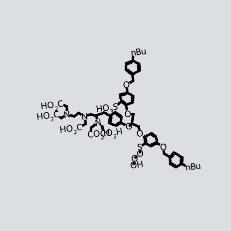 CCCCc1ccc(COc2ccc(OCC(COc3ccc(OCc4ccc(CCCC)cc4)cc3S(=O)(=O)O)Oc3ccc(CC(CN(CCN(CC(=O)O)CC(=O)O)CC(=O)O)N(CC(=O)O)CC(=O)O)cc3)c(SOOO)c2)cc1